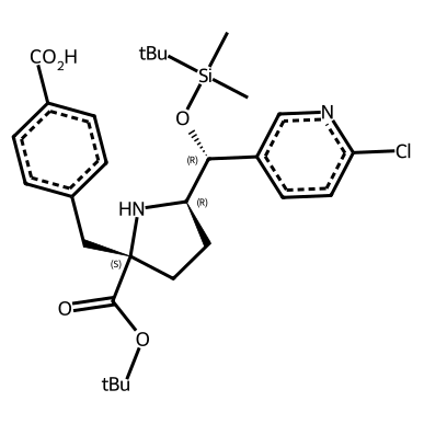 CC(C)(C)OC(=O)[C@@]1(Cc2ccc(C(=O)O)cc2)CC[C@H]([C@H](O[Si](C)(C)C(C)(C)C)c2ccc(Cl)nc2)N1